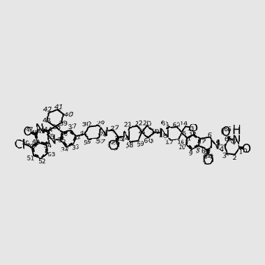 O=C1CC[C@H](N2Cc3c(ccc4c3OCC43CCN(C4CC5(CCN(C(=O)CN6CCC(c7ccc8c(c7)C7(CCCCC7)c7nc(=O)c9c(Cl)cccc9n7-8)CC6)CC5)C4)CC3)C2=O)C(=O)N1